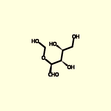 O=C[C@@H](OCO)[C@@H](O)[C@H](O)CO